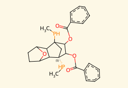 CPC12C[C@@](PC)(C(OC(=O)c3ccccc3)C1OC(=O)c1ccccc1)C1C3CCC(O3)C12